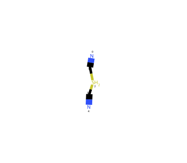 N#C[SH2]C#N